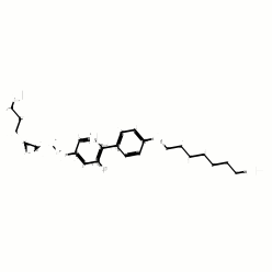 CCCCCCCCOc1ccc(-c2ncc(OC[C@@H]3O[C@H]3CCCC)cc2Cl)cc1